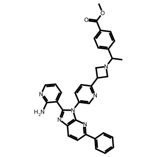 COC(=O)c1ccc(C(C)N2CC(c3ccc(-n4c(-c5cccnc5N)nc5ccc(-c6ccccc6)nc54)cn3)C2)cc1